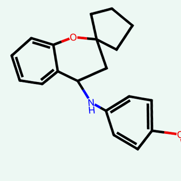 COc1ccc(NC2CC3(CCCC3)Oc3ccccc32)cc1